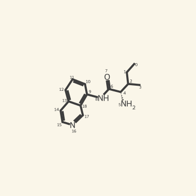 CCC(C)[C@H](N)C(=O)Nc1cccc2ccncc12